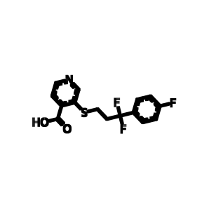 O=C(O)c1ccncc1SCCC(F)(F)c1ccc(F)cc1